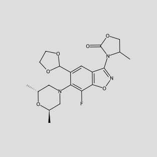 CC1COC(=O)N1c1noc2c(F)c(N3C[C@@H](C)O[C@H](C)C3)c(C3OCCO3)cc12